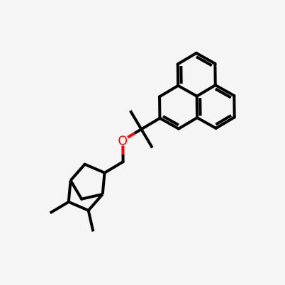 CC1C2CC(COC(C)(C)C3=Cc4cccc5cccc(c45)C3)C(C2)C1C